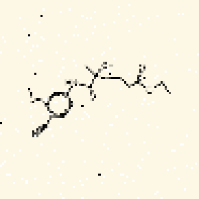 CCOC(=O)CCCC(C)(O)C(=O)Nc1ccc(C#N)c(SC)c1